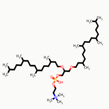 CC(C)CCCC(C)CCCC(C)CCCC(C)CCOCC(COP(=O)(O)OCC[N+](C)(C)C)OCCC(C)CCCC(C)CCCC(C)CCCC(C)C